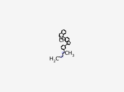 C=C/C=C\C=C(/C)c1cccc(C2=CCc3ccc(C4c5ccccc5C=CN4C)cc32)c1